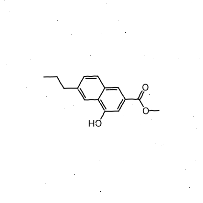 CCCc1ccc2cc(C(=O)OC)cc(O)c2c1